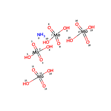 N.[O]=[Mo](=[O])([OH])[OH].[O]=[Mo](=[O])([OH])[OH].[O]=[Mo](=[O])([OH])[OH].[O]=[Mo](=[O])([OH])[OH]